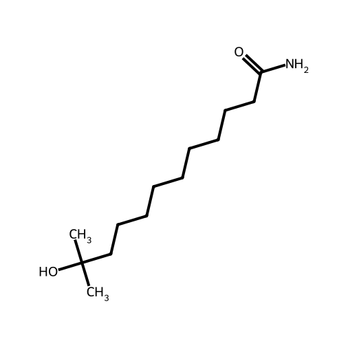 CC(C)(O)CCCCCCCCCC(N)=O